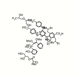 CC(O)COC(C)CO.CCCCC(CC)C(=O)OCC(O)CO.CCCCC(CC)Cc1cc(C(=O)O)c(CC(CC)CCCC)c(CC(CC)CCCC)c1Nc1nc(Nc2ccc(C(=O)O)cc2)nc(Nc2ccc(C(=O)O)cc2)n1.COC(C(=O)O)=C(OC)c1ccccc1.O=C(O)c1ccccc1O